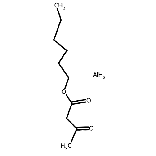 CCCCCCOC(=O)CC(C)=O.[AlH3]